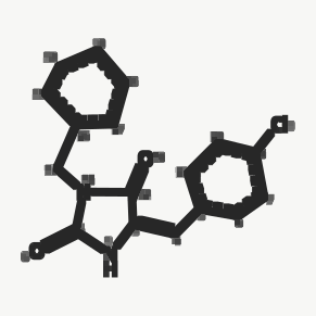 O=C1NC(=Cc2ccc(Cl)cc2)C(=O)N1Cc1ccccc1